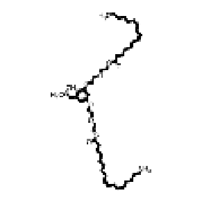 CCCCC/C=C\C/C=C\CCCCCCCC(=O)OCCOCCOc1cc(CN(C)C)cc(OCCOCCOC(=O)CCCCC/C=C\C/C=C\CCCCC)c1